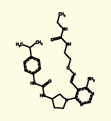 CCNC(=O)NCCON=Cc1c(N)ncnc1N1CCC(NC(=O)Nc2ccc(C(C)C)cc2)C1